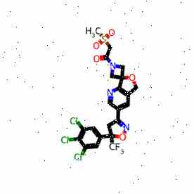 CS(=O)(=O)CC(=O)N1CC2(C1)OCc1cc(C3=NOC(c4cc(Cl)c(Cl)c(Cl)c4)(C(F)(F)F)C3)cnc12